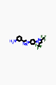 Nc1cccc(-c2cn(-c3ccc(-n4nc(C(F)(F)F)cc4C(F)(F)F)cc3)nn2)c1